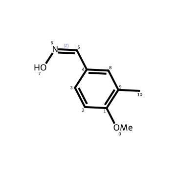 COc1ccc(/C=N\O)cc1C